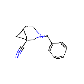 N#CC12CC1CN(Cc1ccccc1)C2